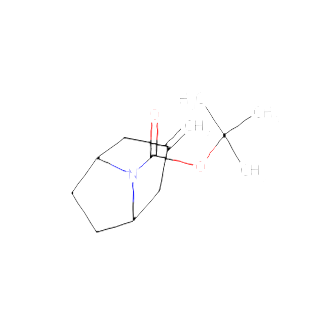 C=C1CC2CCC(C1)N2C(=O)OC(C)(C)C